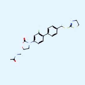 CC(=O)NC[C@H]1CN(c2ccc(-c3ccc(CSC4=NCCS4)cc3)c(F)c2)C(=O)O1